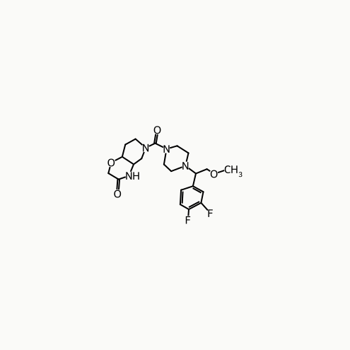 COCC(c1ccc(F)c(F)c1)N1CCN(C(=O)N2CCC3OCC(=O)NC3C2)CC1